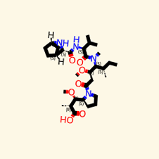 CC[C@H](C)[C@@H]([C@@H](CC(=O)N1CCC[C@H]1[C@H](OC)[C@@H](C)C(=O)O)OC)N(C)C(=O)[C@@H](NC(=O)[C@H]1N[C@@H]2CC[C@H]1C2)C(C)C